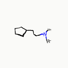 CC(C)N(CCC1CCCC1)C(C)C